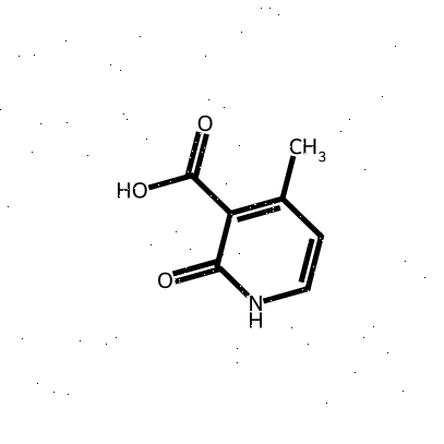 Cc1cc[nH]c(=O)c1C(=O)O